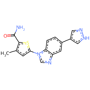 Cc1cc(-n2cnc3cc(-c4cn[nH]c4)ccc32)sc1C(N)=O